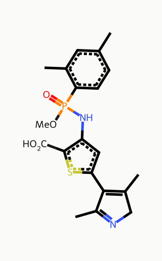 COP(=O)(Nc1cc(C2=C(C)CN=C2C)sc1C(=O)O)c1ccc(C)cc1C